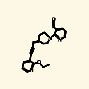 CCOc1ncccc1C#CC=C1CCN(c2ncccc2N=O)CC1